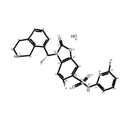 C[C@H](c1cccc2c1CNCC2)n1c(=O)oc2cc(S(=O)(=O)Nc3cccc(F)n3)c(F)cc21.Cl